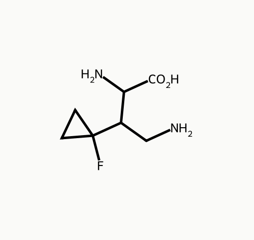 NCC(C(N)C(=O)O)C1(F)CC1